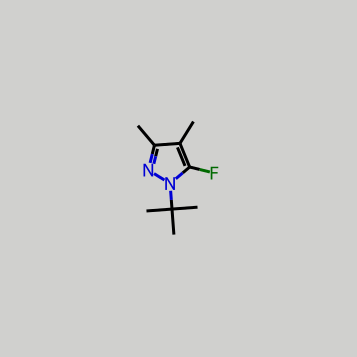 Cc1nn(C(C)(C)C)c(F)c1C